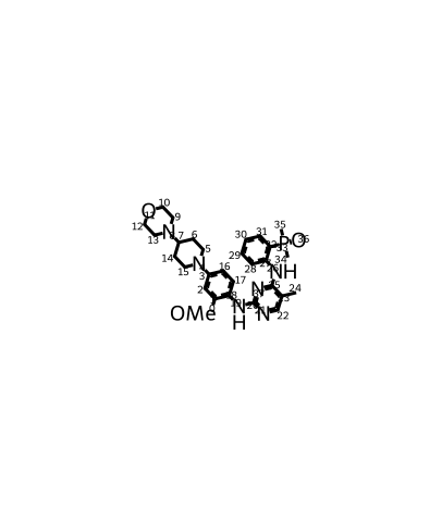 COc1cc(N2CCC(N3CCOCC3)CC2)ccc1Nc1ncc(C)c(Nc2ccccc2P(C)(C)=O)n1